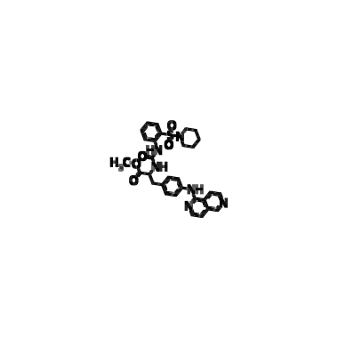 COC(=O)C(Cc1ccc(Nc2nccc3cnccc23)cc1)NC(=O)Nc1ccccc1S(=O)(=O)N1CCCCC1